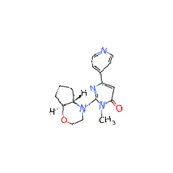 Cn1c(N2CCO[C@H]3CCC[C@@H]32)nc(-c2ccncc2)cc1=O